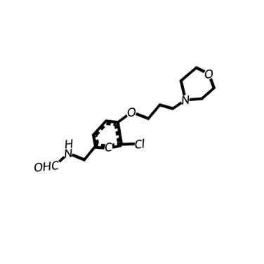 O=CNCc1ccc(OCCCN2CCOCC2)c(Cl)c1